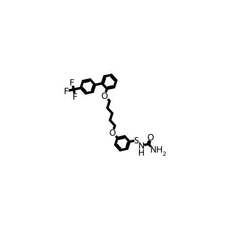 NC(=O)NSc1cccc(OCCCCCOc2ccccc2-c2ccc(C(F)(F)F)cc2)c1